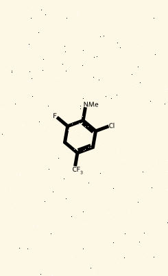 CNC1=C(Cl)C=C(C(F)(F)F)CC1F